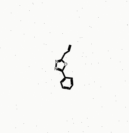 C=CCc1nnc(-c2ccccc2)o1